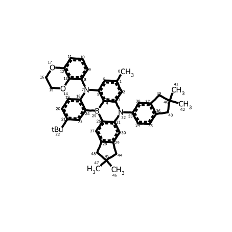 Cc1cc2c3c(c1)N(c1cccc4c1OCCO4)c1ccc(C(C)(C)C)cc1B3c1cc3c(cc1N2c1ccc2c(c1)CC(C)(C)C2)CC(C)(C)C3